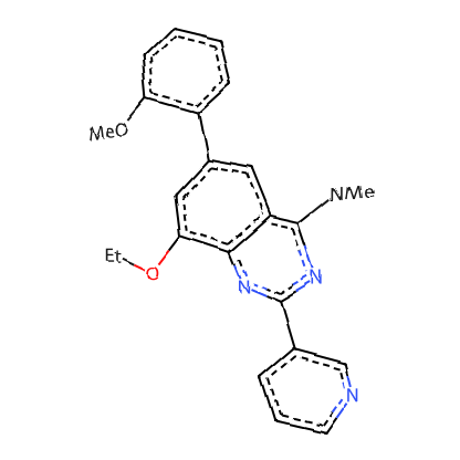 CCOc1cc(-c2ccccc2OC)cc2c(NC)nc(-c3cccnc3)nc12